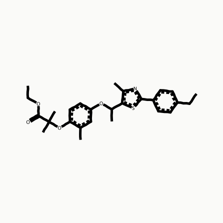 CCOC(=O)C(C)(C)Oc1ccc(OC(C)c2sc(-c3ccc(CC)cc3)nc2C)cc1C